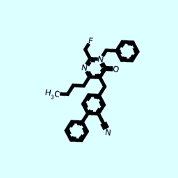 CCCCc1nc(CF)n(Cc2ccccc2)c(=O)c1Cc1ccc(-c2ccccc2)c(C#N)c1